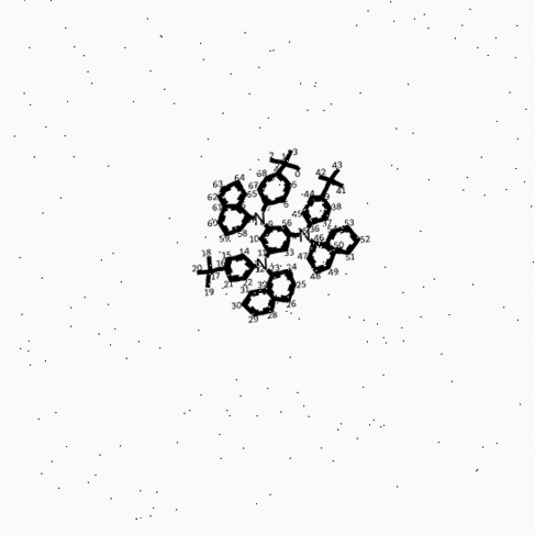 CC(C)(C)c1ccc(N(c2cc(N(c3ccc(C(C)(C)C)cc3)c3cccc4ccccc34)cc(N(c3ccc(C(C)(C)C)cc3)c3cccc4ccccc34)c2)c2cccc3ccccc23)cc1